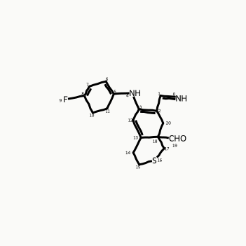 N=CC1=C(NC2=CC=C(F)CC2)C=C2CCSCC2(C=O)C1